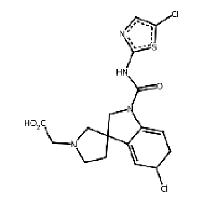 O=C(O)CN1CCC2(C1)CN(C(=O)Nc1ncc(Cl)s1)C1=CCC(Cl)C=C12